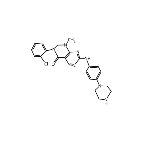 CN1CN(c2ccccc2Cl)C(=O)c2cnc(Nc3ccc(N4CCNCC4)cc3)nc21